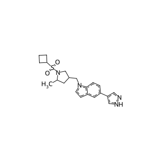 CC1CC(Cn2ccc3cc(-c4cn[nH]c4)ccc32)CN1S(=O)(=O)C1CCC1